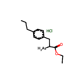 CCCc1ccc(CC([AsH2])C(=O)OCC)cc1.Cl